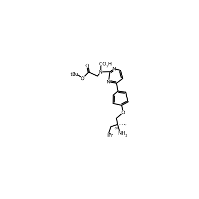 CC(C)C[C@](C)(N)COc1ccc(-c2ccnc(N(CC(=O)OC(C)(C)C)C(=O)O)n2)cc1